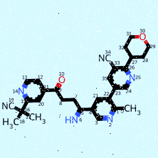 Cc1ncc(C(=N)CCC(=O)c2ccnc(C(C)(C)C#N)c2)cc1-c1cnc(C2CCOCC2)c(C#N)c1